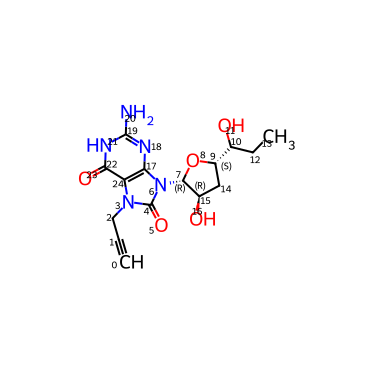 C#CCn1c(=O)n([C@@H]2O[C@H](C(O)CC)C[C@H]2O)c2nc(N)[nH]c(=O)c21